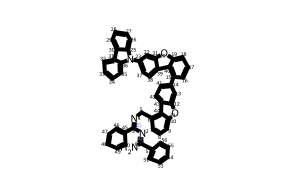 N/C(=N\C(=N/Cc1cccc2oc3cc(-c4cccc5oc6cc(-n7c8ccccc8c8ccccc87)ccc6c45)ccc3c12)c1ccccc1)c1ccccc1